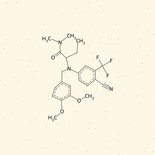 CCC(C(=O)N(C)C)N(Cc1ccc(OC)c(OC)c1)c1ccc(C#N)c(C(F)(F)F)c1